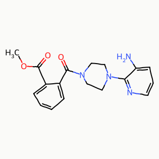 COC(=O)c1ccccc1C(=O)N1CCN(c2ncccc2N)CC1